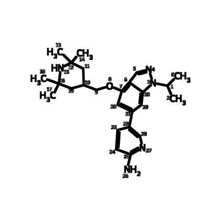 CC(C)n1ncc2c(OCC3CC(C)(C)NC(C)(C)C3)cc(-c3ccc(N)nc3)cc21